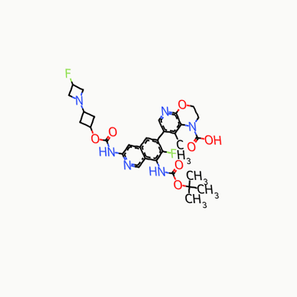 Cc1c(-c2cc3cc(NC(=O)OC4CC(N5CC(F)C5)C4)ncc3c(NC(=O)OC(C)(C)C)c2F)cnc2c1N(C(=O)O)CCO2